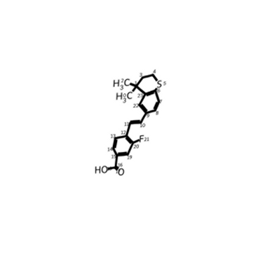 CC1(C)CCSc2ccc(C=Cc3ccc(C(=O)O)cc3F)cc21